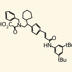 CC(C)(C)c1cc(NC(=O)/C=C/c2ccc(C(CN(Cc3ccccc3)C(=O)C(=O)O)C3CCCCC3)cc2)cc(C(C)(C)C)c1